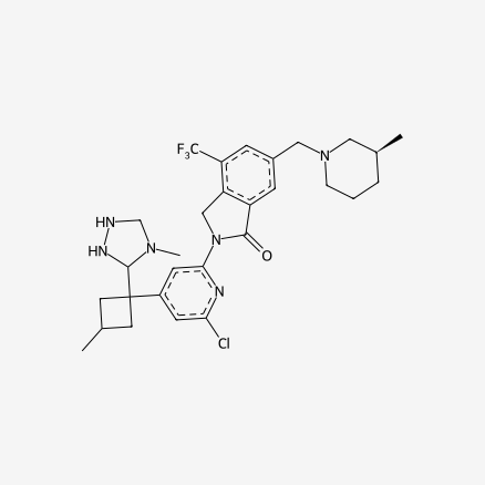 CC1CC(c2cc(Cl)nc(N3Cc4c(cc(CN5CCC[C@H](C)C5)cc4C(F)(F)F)C3=O)c2)(C2NNCN2C)C1